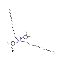 CCCCCCCCCCCCCCCC#CC(=N\c1ccc(CC)c(CC)c1)/C(CCCCCCCCCCCCCCCCCCC)=N/c1ccc(CC)c(CC)c1.[Pd]